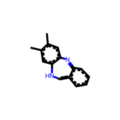 Cc1cc2c(cc1C)NC=c1ccccc1=N2